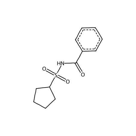 O=C(NS(=O)(=O)C1CCCC1)c1ccccc1